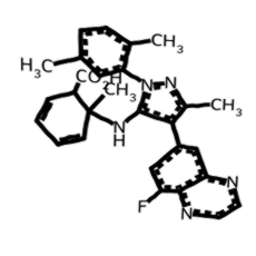 Cc1ccc(C)c(-n2nc(C)c(-c3cc(F)c4nccnc4c3)c2NC2(C)C=CC=CC2C(=O)O)c1